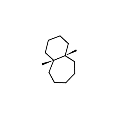 C[C@@]12CCCCC[C@]1(C)CCCC2